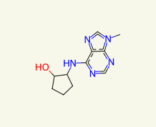 Cn1cnc2c(NC3CCCC3O)ncnc21